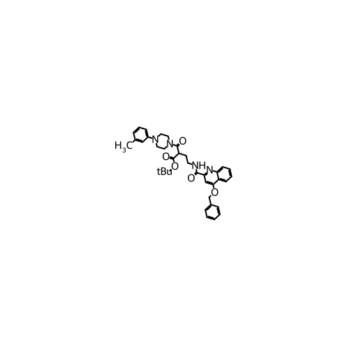 Cc1cccc(N2CCN(C(=O)C(CCNC(=O)c3cc(OCc4ccccc4)c4ccccc4n3)C(=O)OC(C)(C)C)CC2)c1